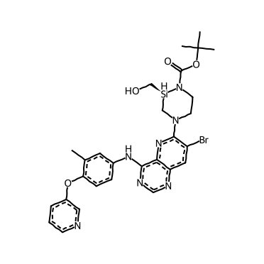 Cc1cc(Nc2ncnc3cc(Br)c(N4CCN(C(=O)OC(C)(C)C)[Si@H](CO)C4)nc23)ccc1Oc1cccnc1